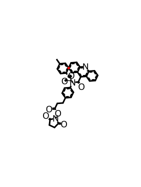 Cc1ccc(S(=O)(=O)N(C(=O)c2c3ccccc3nc3ccccc23)c2ccc(CCC(=O)ON3C(=O)CCC3=O)cc2)cc1